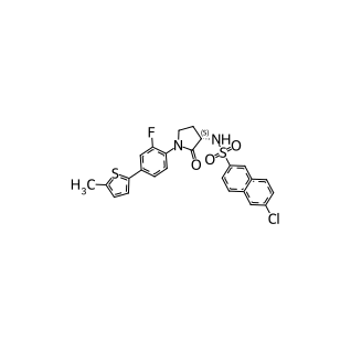 Cc1ccc(-c2ccc(N3CC[C@H](NS(=O)(=O)c4ccc5cc(Cl)ccc5c4)C3=O)c(F)c2)s1